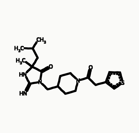 CC(C)CC1(C)NC(=N)N(CC2CCN(C(=O)Cc3ccsc3)CC2)C1=O